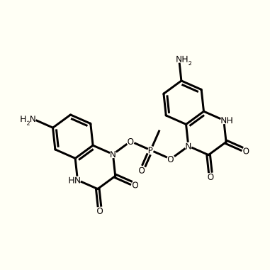 CP(=O)(On1c(=O)c(=O)[nH]c2cc(N)ccc21)On1c(=O)c(=O)[nH]c2cc(N)ccc21